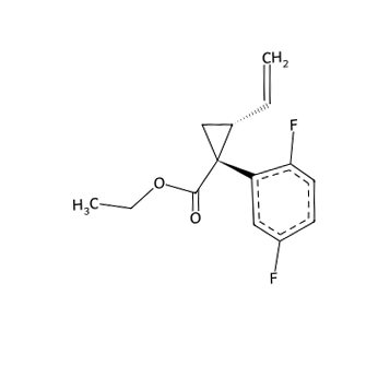 C=C[C@H]1C[C@]1(C(=O)OCC)c1cc(F)ccc1F